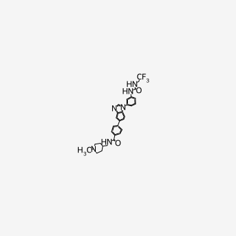 CN1CCC(CNC(=O)c2ccc(-c3ccc4c(c3)ncn4-c3cccc(NC(=O)NCC(F)(F)F)c3)cc2)CC1